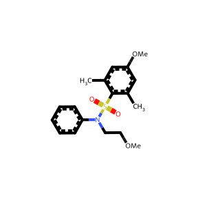 COCCN(c1ccccc1)S(=O)(=O)c1c(C)cc(OC)cc1C